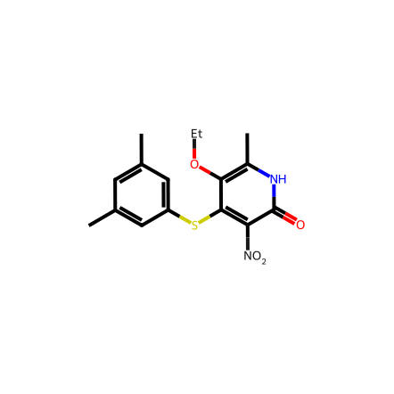 CCOc1c(C)[nH]c(=O)c([N+](=O)[O-])c1Sc1cc(C)cc(C)c1